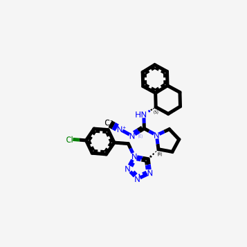 [C-]#[N+]/N=C(\N[C@H]1CCCc2ccccc21)N1CCC[C@@H]1c1nnnn1Cc1ccc(Cl)cc1